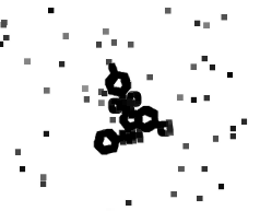 Cc1ccc(S(=O)(=O)N2CC(Nc3ccccc3)c3cc(Cl)ccc32)cc1